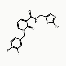 O=C(NCc1cnc(Br)s1)c1cccn(Cc2ccc(F)c(F)c2)c1=O